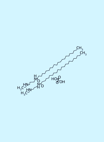 CCCCCCCCCCCCCCCCCCCCCC(=O)NCCCNCC.CCCCCCCCCCCCCCCCCCCCCC(=O)NCCCNCC.O=S(=O)(O)O